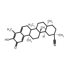 CC1=C(O)C(=O)C=C2C1=CCC1[C@@]2(C)CC[C@@]2(C)[C@@H]3C[C@](C)(C#N)CC[C@]3(C)CC[C@]12C